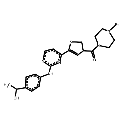 CCN1CCN(C(=O)C2C=C(c3ccnc(Nc4ccc(C(C)O)cc4)n3)SC2)CC1